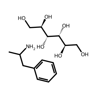 CC(N)Cc1ccccc1.OC[C@@H](O)[C@@H](O)[C@H](O)[C@H](O)CO